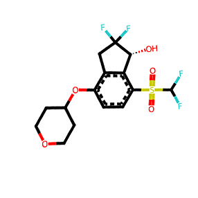 O=S(=O)(c1ccc(OC2CCOCC2)c2c1[C@@H](O)C(F)(F)C2)C(F)F